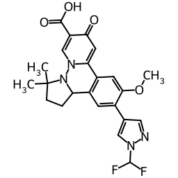 COc1cc2c(cc1-c1cnn(C(F)F)c1)C1CCC(C)(C)N1n1cc(C(=O)O)c(=O)cc1-2